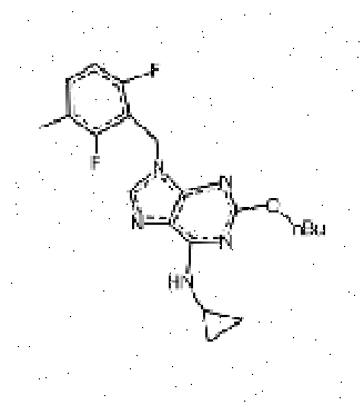 CCCCOc1nc(NC2CC2)c2ncn(Cc3c(F)ccc(C)c3F)c2n1